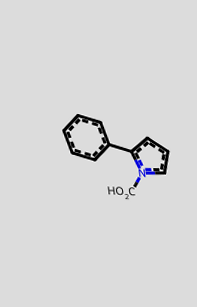 O=C(O)n1cccc1-c1ccccc1